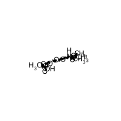 CC(CS(=O)(=O)O)OCCOCCOCCOCCNC(=O)OC(C)(C)C